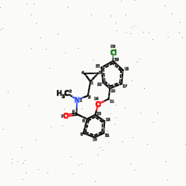 CN(CC1CC1)C(=O)c1ccccc1OCc1ccc(Cl)cc1